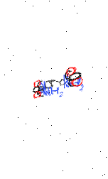 NC1(C(N=C=O)(N=C=O)c2ccccc2)CCC(CC2CCC(N)(C(N=C=O)(N=C=O)c3ccccc3)CC2)CC1